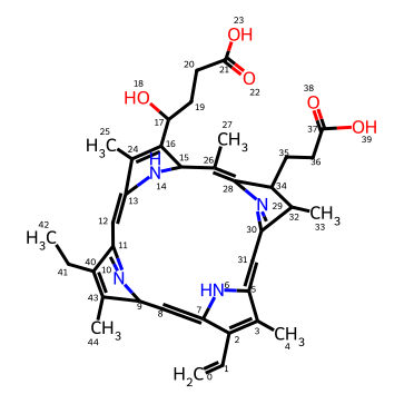 C=Cc1c(C)/c2[nH]/c1=C\C1N=C(/C=C3\NC(C(C(O)CCC(=O)O)=C3C)/C(C)=C3N=C(/C=2)C(C)C\3CCC(=O)O)C(CC)=C1C